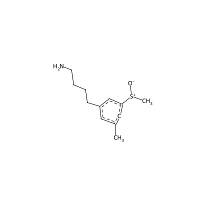 Cc1cc(CCCCN)cc([S+](C)[O-])c1